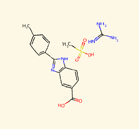 CS(=O)(=O)O.Cc1ccc(-c2nc3cc(C(=O)O)ccc3[nH]2)cc1.N=C(N)N